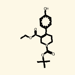 CCOC(=O)C1=C(c2ccc(O)cc2)CCN(C(=O)OC(C)(C)C)C1